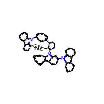 N#Cc1c(-c2cccc(-n3c4ccccc4c4cccc(C#N)c43)c2)cccc1-n1c2ccccc2c2ccc(-n3c4ccccc4c4ccccc43)cc21